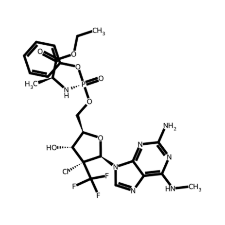 CCOC(=O)[C@H](C)N[P@](=O)(OC[C@H]1O[C@@H](n2cnc3c(NC)nc(N)nc32)[C@@](Cl)(C(F)(F)F)[C@@H]1O)Oc1ccccc1